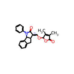 CC1=C(C)C(O/C=C2/C(=O)N(c3ccccc3)C3c4ccccc4CC23)OC1=O